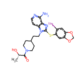 C[C@H](O)C(=O)N1CCC(CCn2c(Sc3cc4c(cc3[124I])OCO4)nc3c(N)nccc32)CC1